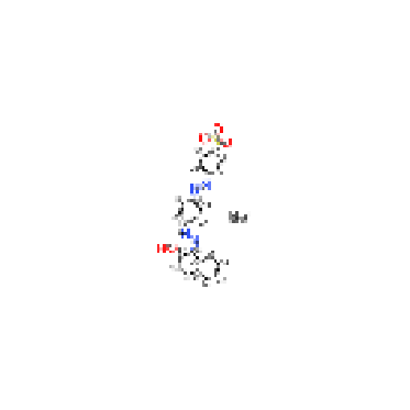 O=S(=O)([O-])c1ccc(N=Nc2ccc(N=Nc3c(O)ccc4ccccc34)cc2)cc1.[Na+]